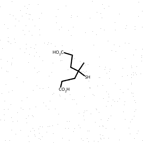 CC(S)(CCC(=O)O)CCC(=O)O